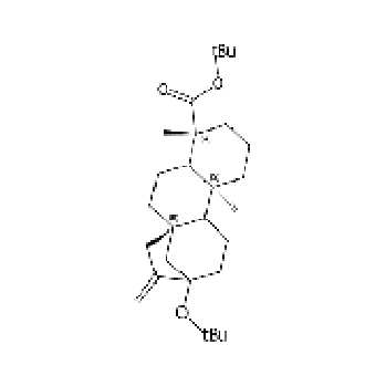 C=C1C[C@@]23CCC4[C@@](C)(CCC[C@@]4(C)C(=O)OC(C)(C)C)C2CCC1(OC(C)(C)C)C3